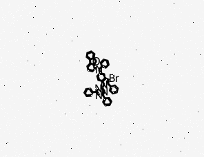 Brc1c(-c2ccccc2)n(-c2nc(-c3ccccc3)nc(-c3ccccc3)n2)c2ccc(N(c3ccccc3)c3cccc4c3oc3ccccc34)cc12